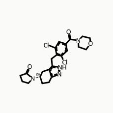 O=C(c1cc(Cl)c(Cc2[nH]nc3c2C[C@@H](N2CCCC2=O)CC3)c(Cl)c1)N1CCOCC1